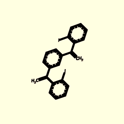 C=C(c1cccc(C(=C)c2ccccc2I)c1)c1ccccc1I